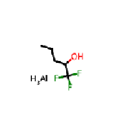 CCCC(O)C(F)(F)F.[AlH3]